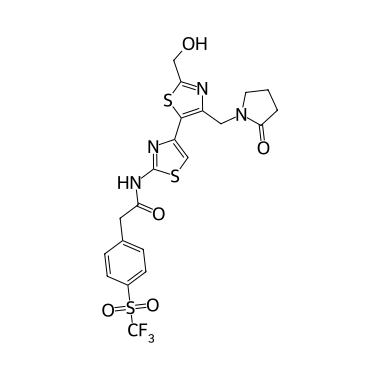 O=C(Cc1ccc(S(=O)(=O)C(F)(F)F)cc1)Nc1nc(-c2sc(CO)nc2CN2CCCC2=O)cs1